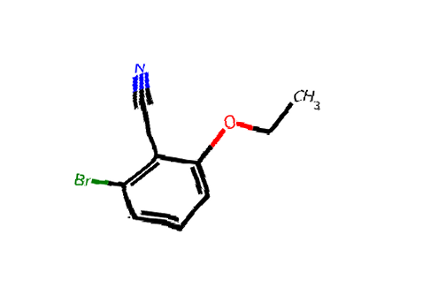 CCOc1cc[c]c(Br)c1C#N